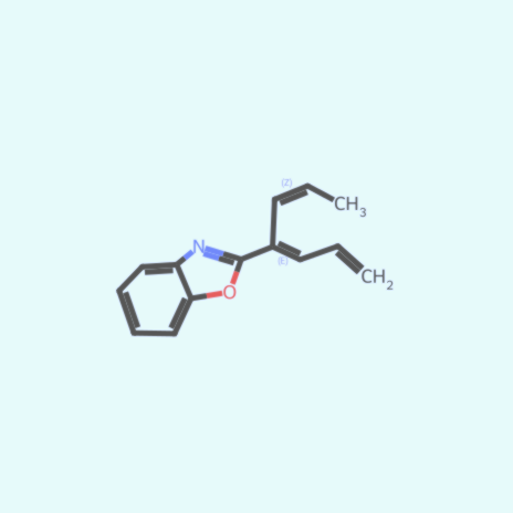 C=C/C=C(\C=C/C)c1nc2ccccc2o1